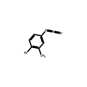 CC(=O)c1ccc(N=[N+]=[N-])cc1C